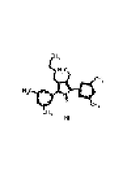 CCCCC1=C(c2cc(C)cc(C)c2)[N+](=[N-])C(c2cc(C)cc(C)c2)=C1CC.[Ni]